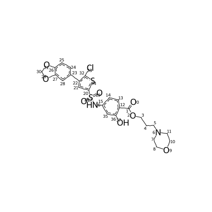 O=C(OCCCN1CCOCC1)c1ccc(NS(=O)(=O)c2cc(-c3ccc4c(c3)OCO4)c(Cl)s2)cc1O